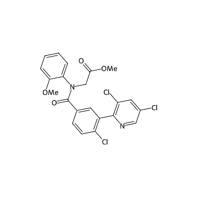 COC(=O)CN(C(=O)c1ccc(Cl)c(-c2ncc(Cl)cc2Cl)c1)c1ccccc1OC